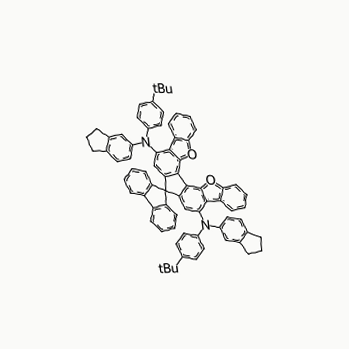 CC(C)(C)c1ccc(N(c2ccc3c(c2)CCC3)c2cc3c(c4oc5ccccc5c24)-c2c(cc(N(c4ccc(C(C)(C)C)cc4)c4ccc5c(c4)CCC5)c4c2oc2ccccc24)C32c3ccccc3-c3ccccc32)cc1